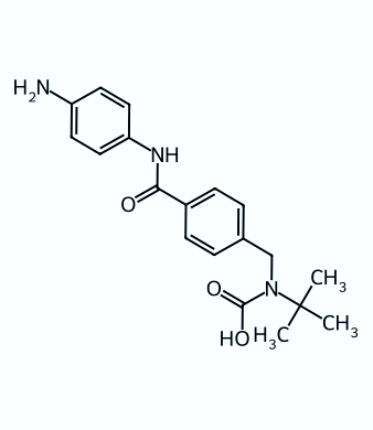 CC(C)(C)N(Cc1ccc(C(=O)Nc2ccc(N)cc2)cc1)C(=O)O